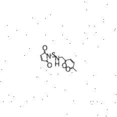 CC(=O)/C=C\C(=O)CNSN1C(=O)C=CC1=O